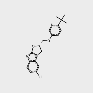 CC(C)(C)c1ccc(OC[C@@H]2Cn3c(nc4ccc(Cl)cc43)O2)cn1